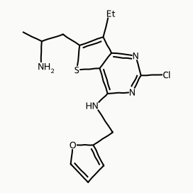 CCc1c(CC(C)N)sc2c(NCc3ccco3)nc(Cl)nc12